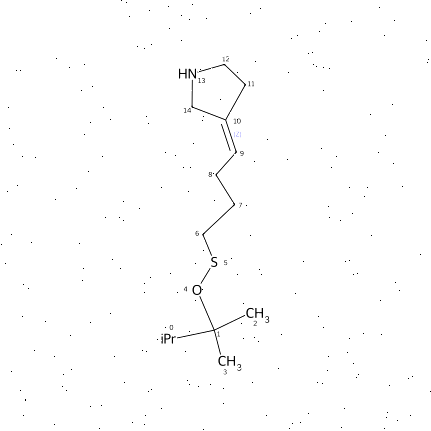 CC(C)C(C)(C)OSCCC/C=C1/CCNC1